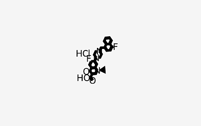 Cl.O=C(O)c1cn(C2CC2)c2cc(N3CCN(Cc4ccc(F)c5ccccc45)CC3)c(F)cc2c1=O